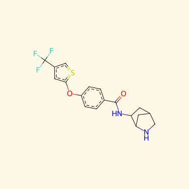 O=C(NC1CC2CNC1C2)c1ccc(Oc2cc(C(F)(F)F)cs2)cc1